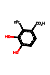 CCCc1c(C(=O)O)ccc(O)c1O